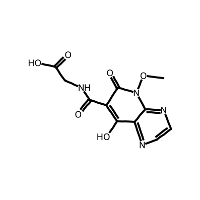 COn1c(=O)c(C(=O)NCC(=O)O)c(O)c2nccnc21